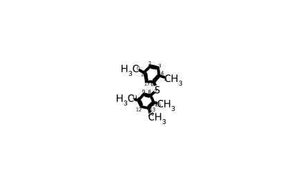 Cc1ccc(C)c(Sc2cc(C)cc(C)c2C)c1